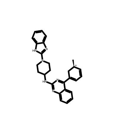 C[C@H]1C=CC=C(c2nc(NC3CCN(c4nc5ccccc5[nH]4)CC3)nc3ccccc23)C1